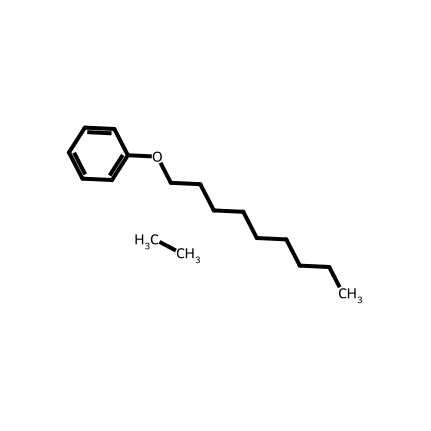 CC.CCCCCCCCCOc1ccccc1